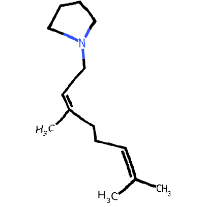 CC(C)=CCCC(C)=CCN1CCCC1